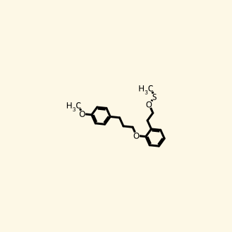 COc1ccc(CCCOc2ccccc2CCOSC)cc1